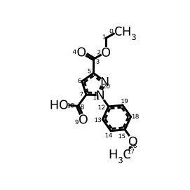 CCOC(=O)c1cc(C(=O)O)n(-c2ccc(OC)cc2)n1